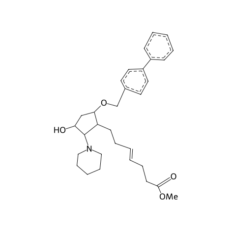 COC(=O)CCC=CCCC1C(OCc2ccc(-c3ccccc3)cc2)CC(O)C1N1CCCCC1